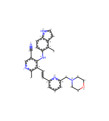 Cc1ncc(C#N)c(Nc2ccc3[nH]ccc3c2C)c1C=Cc1cccc(CN2CCOCC2)n1